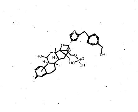 C[C@]12C=CC(=O)C=C1CC[C@@H]1[C@@H]2[C@@H](O)C[C@@]2(C)[C@H]1C[C@H]1O[C@@H](c3coc(Cc4ccc(CO)cc4)c3)O[C@]12C(=O)COP(=O)(O)O